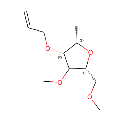 C=CCO[C@H]1C(OC)[C@@H](COC)O[C@H]1C